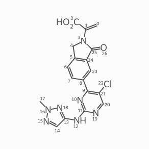 C=C(C(=O)O)N1Cc2ccc(-c3nc(Nc4cnn(C)n4)ncc3Cl)cc2C1=O